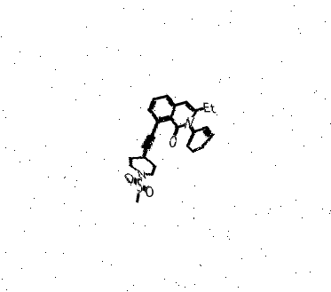 CCc1cc2cccc(C#CC3CCN(S(C)(=O)=O)CC3)c2c(=O)n1-c1ccccc1